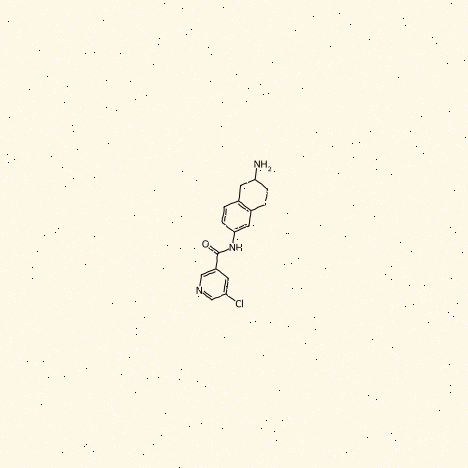 NC1CCc2cc(NC(=O)c3cncc(Cl)c3)ccc2C1